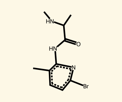 CNC(C)C(=O)Nc1nc(Br)ccc1C